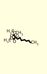 CCCCCCCCC(OC)(C(=O)OC)C(=O)OC